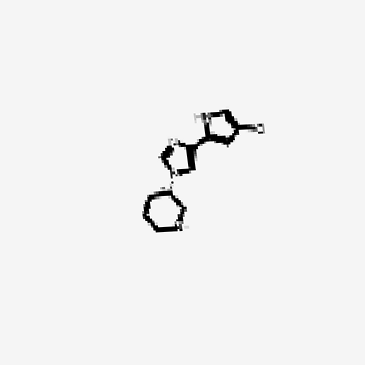 Clc1c[nH]c(-c2cn([C@H]3CCCNC3)cn2)c1